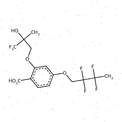 CC(F)(F)C(F)(F)COc1ccc(C(=O)O)c(OCC(C)(O)C(F)(F)F)c1